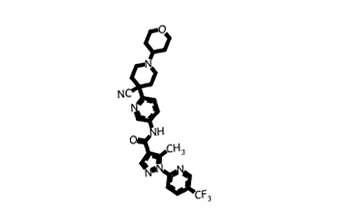 Cc1c(C(=O)Nc2ccc(C3(C#N)CCN(C4CCOCC4)CC3)nc2)cnn1-c1ccc(C(F)(F)F)cn1